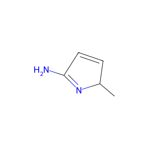 CC1C=CC(N)=N1